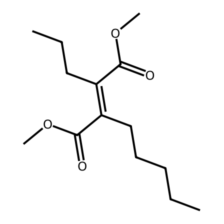 CCCCCC(C(=O)OC)=C(CCC)C(=O)OC